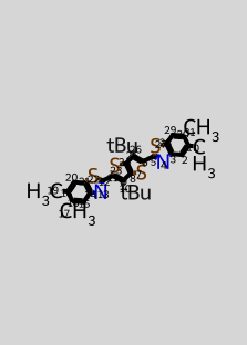 Cc1cc2nc(-c3sc4c(C(C)(C)C)c(-c5nc6cc(C)c(C)cc6s5)sc4c3C(C)(C)C)sc2cc1C